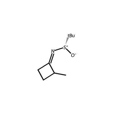 CC1CCC1=N[S@@+]([O-])C(C)(C)C